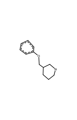 c1ccc(OCC2CCC[N]C2)cc1